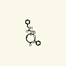 O=C1CCC=CC[C@@H](NC(=O)NCc2ccccc2)C(=O)OC[C@@H](c2ccccc2)N1